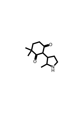 CC1NCCC1C1C(=O)CCC(C)(C)C1=O